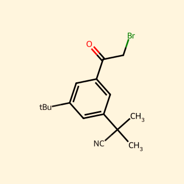 CC(C)(C)c1cc(C(=O)CBr)cc(C(C)(C)C#N)c1